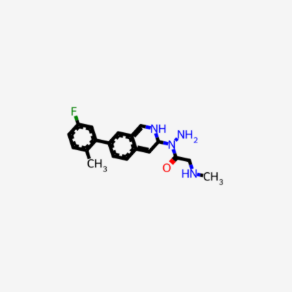 CNCC(=O)N(N)C1C=c2ccc(-c3cc(F)ccc3C)cc2=CN1